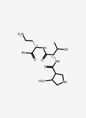 CCCCCCCCC1CNCC1C(=O)N[C@H](C(=O)N[C@@H](CCN)C(=O)C(C)C)C(C)O